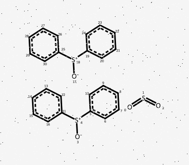 O=S=O.[O-][S+](c1ccccc1)c1ccccc1.[O-][S+](c1ccccc1)c1ccccc1